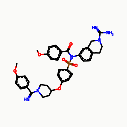 COc1ccc(C(=N)N2CCC(Oc3ccc(S(=O)(=O)N(C(=O)c4ccc(OC)cc4)c4ccc5c(c4)CN(C(=N)N)CC5)cc3)CC2)cc1